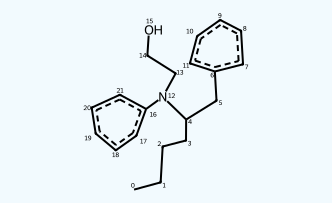 CCCCC(Cc1ccccc1)N(CCO)c1ccccc1